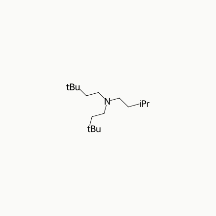 CC(C)CCN(CCC(C)(C)C)CCC(C)(C)C